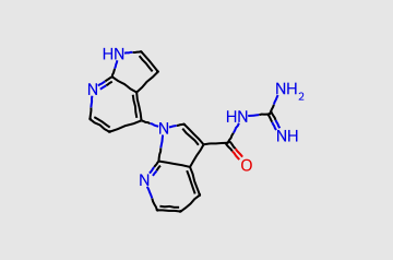 N=C(N)NC(=O)c1cn(-c2ccnc3[nH]ccc23)c2ncccc12